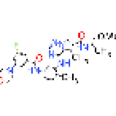 COCC(C)NC(=O)C1CN2N=CN=C(Nc3cc(NC(=O)c4cc(F)cc(N5CCOCC5)c4)ccc3C)C2=C1C